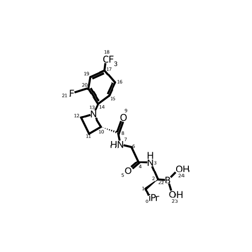 CC(C)C[C@@H](NC(=O)CNC(=O)[C@@H]1CCN1c1ccc(C(F)(F)F)cc1F)B(O)O